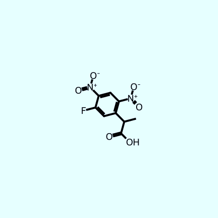 CC(C(=O)O)c1cc(F)c([N+](=O)[O-])cc1[N+](=O)[O-]